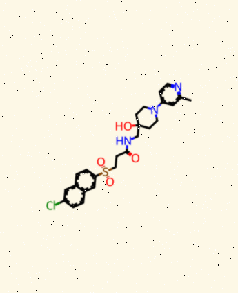 Cc1cc(N2CCC(O)(CNC(=O)CCS(=O)(=O)c3ccc4cc(Cl)ccc4c3)CC2)ccn1